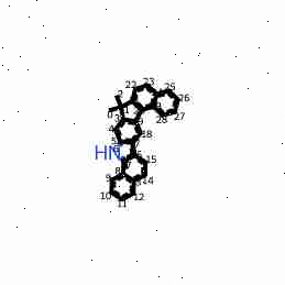 CC1(C)c2cc3[nH]c4c5ccccc5ccc4c3cc2-c2c1ccc1ccccc21